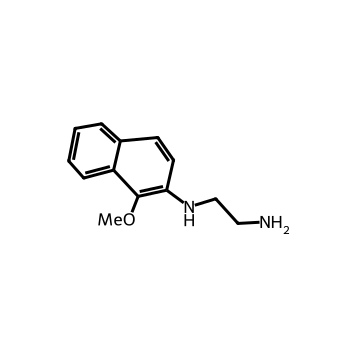 COc1c(NCCN)ccc2ccccc12